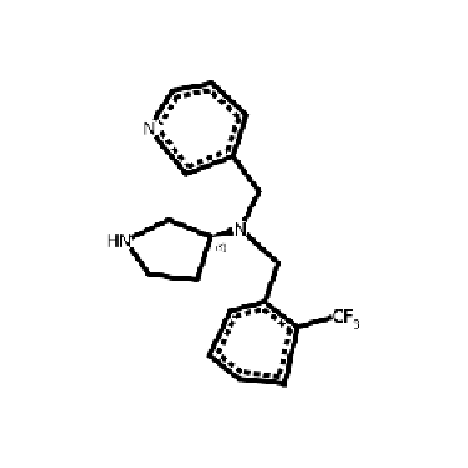 FC(F)(F)c1ccccc1CN(Cc1cccnc1)[C@H]1CCNC1